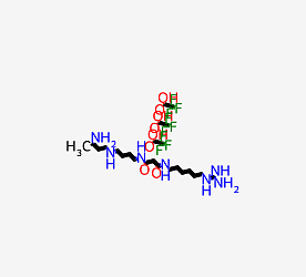 C[C@@H](N)CCNCCCCNC(=O)CC(=O)NCCCCCCNC(=N)N.O=C(O)C(F)(F)F.O=C(O)C(F)(F)F.O=C(O)C(F)(F)F